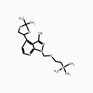 CC1(C)OCC(c2ccnc3c2c(C#N)nn3COCC[Si](C)(C)C)O1